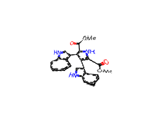 COC(=O)c1[nH]c(C(=O)OC)c(-c2c[nH]c3ccccc23)c1-c1c[nH]c2ccccc12